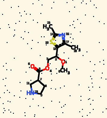 COC(COC(=O)C1CCNC1)c1sc(C)nc1C